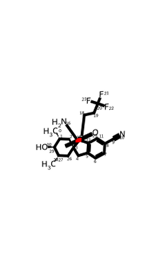 C[C@@H]1C[C@@]2(Cc3ccc(C#N)cc3[C@]23N=C(N)N(CCC(F)(F)F)C3=O)C[C@H](C)[C@H]1O